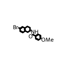 COc1ccc(C(=O)N[C@H]2CCc3cc(Br)ccc3C2)cc1